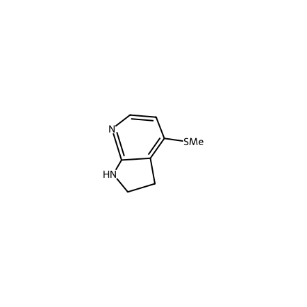 CSc1ccnc2c1CCN2